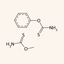 COC(N)=S.NC(=S)Oc1ccccc1